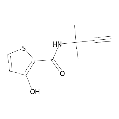 C#CC(C)(C)NC(=O)c1sccc1O